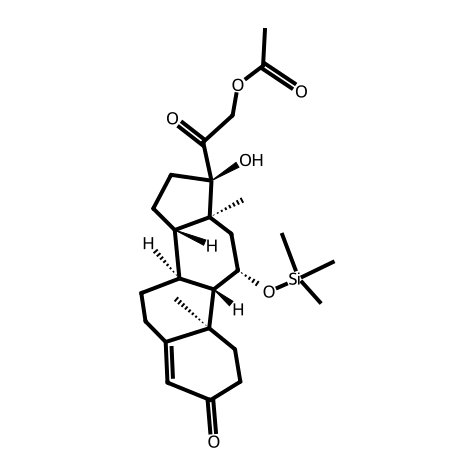 CC(=O)OCC(=O)[C@@]1(O)CC[C@H]2[C@@H]3CCC4=CC(=O)CC[C@]4(C)[C@H]3[C@@H](O[Si](C)(C)C)C[C@@]21C